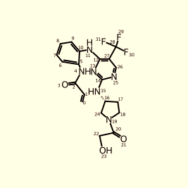 C=CC(=O)Nc1ccccc1Nc1nc(N[C@@H]2CCN(C(=O)CO)C2)ncc1C(F)(F)F